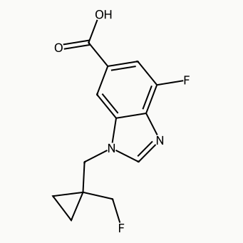 O=C(O)c1cc(F)c2ncn(CC3(CF)CC3)c2c1